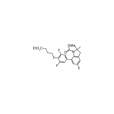 CCOC(=O)CCCSc1c(F)cc(-c2cc(F)cc3c2N(C(=O)OC)C(C)(C)C3)cc1F